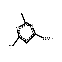 COc1cc(Cl)nc(C)n1